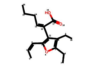 C/C=C\c1oc(CC)c(CC)c1/C(=C/CCC)C(=O)O